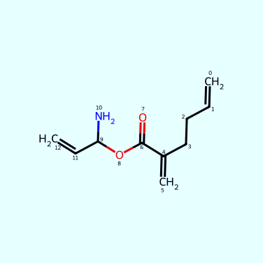 C=CCCC(=C)C(=O)OC(N)C=C